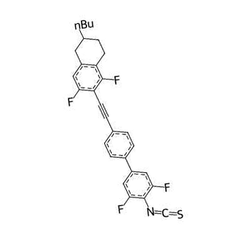 CCCCC1CCc2c(cc(F)c(C#Cc3ccc(-c4cc(F)c(N=C=S)c(F)c4)cc3)c2F)C1